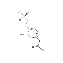 NC(=O)C[n+]1ccc(CCS(=O)(=O)O)cc1.[OH-]